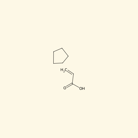 C1CCCC1.C=CC(=O)O